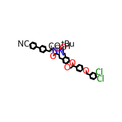 CC(C)(C)OC(=O)N1Cc2cc3c(cc2CC1C(=O)N[C@@H](Cc1ccc(-c2ccc(C#N)cc2)cc1)C(=O)O)OCC(c1ccc(OCc2ccc(Cl)c(Cl)c2)cc1)O3